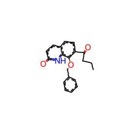 CCCC(=O)c1ccc2ccc(=O)[nH]c2c1OCc1ccccc1